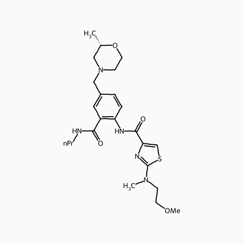 CCCNC(=O)c1cc(CN2CCO[C@@H](C)C2)ccc1NC(=O)c1csc(N(C)CCOC)n1